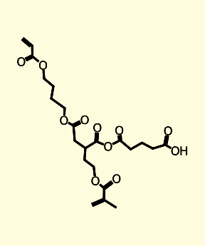 C=CC(=O)OCCCCOC(=O)CC(CCOC(=O)C(=C)C)C(=O)OC(=O)CCCC(=O)O